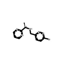 C[C@@H](NCc1ccc(Br)nn1)c1ncccn1